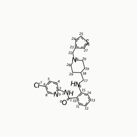 O=C(Nc1ccc(Cl)cn1)c1ccccc1NCC1CCN(Cc2ccsc2)CC1